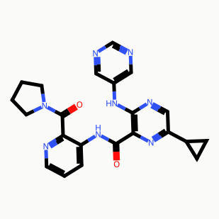 O=C(Nc1cccnc1C(=O)N1CCCC1)c1nc(C2CC2)cnc1Nc1cncnc1